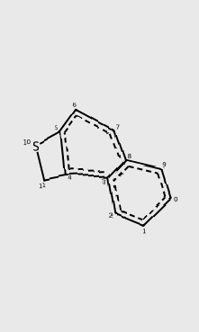 c1ccc2c3c(ccc2c1)SC3